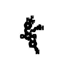 CNCCC[C@@H]1C(=O)N(c2ccc(C#N)cc2F)CC(=O)N1Cc1ccc(C(F)(F)F)cc1